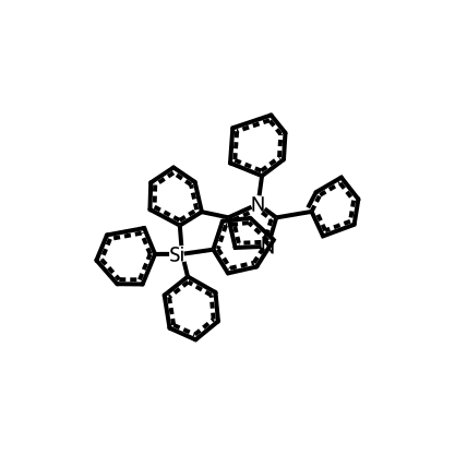 c1ccc(-c2ncc(-c3ccccc3[Si](c3ccccc3)(c3ccccc3)c3ccccc3)n2-c2ccccc2)cc1